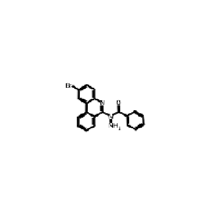 NN(C(=O)c1ccccc1)c1nc2ccc(Br)cc2c2ccccc12